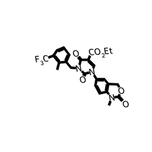 CCOC(=O)c1cn(-c2ccc3c(c2)COC(=O)N3C)c(=O)n(Cc2cccc(C(F)(F)F)c2C)c1=O